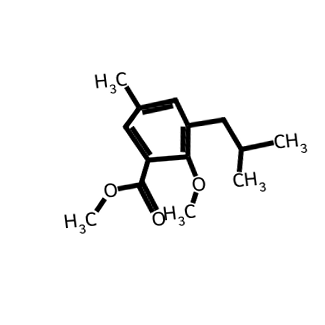 COC(=O)c1cc(C)cc(CC(C)C)c1OC